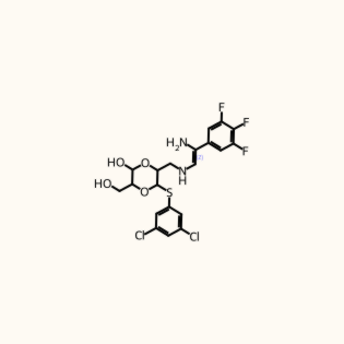 N/C(=C\NCC1OC(O)C(CO)OC1Sc1cc(Cl)cc(Cl)c1)c1cc(F)c(F)c(F)c1